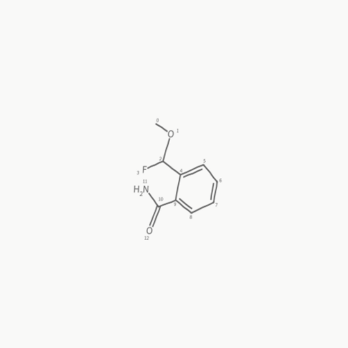 COC(F)c1ccccc1C(N)=O